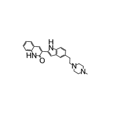 CN1CCN(CCc2ccc3[nH]c(-c4cc5ccccc5[nH]c4=O)cc3c2)CC1